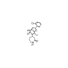 O=C1C[C@H](n2c(=O)[nH]c3cc(-c4ccccc4Cl)sc3c2=O)CCCN1